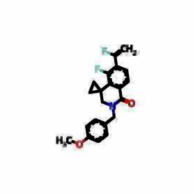 C=C(F)c1ccc2c(c1F)C1(CC1)CN(Cc1ccc(OC)cc1)C2=O